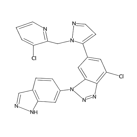 Clc1cccnc1Cn1nccc1-c1cc(Cl)c2nnn(-c3ccc4cn[nH]c4c3)c2c1